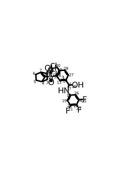 C[C@]1(O)CC2CCC1=C2S(=O)(=O)c1cc(C(O)Nc2cc(F)c(F)c(F)c2)ccc1Cl